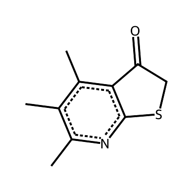 Cc1nc2c(c(C)c1C)C(=O)CS2